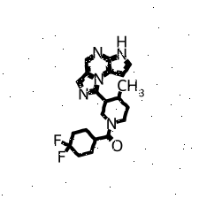 CC1CCN(C(=O)C2CCC(F)(F)CC2)CC1c1ncc2cnc3[nH]ccc3n12